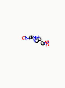 O=[N+]([O-])c1cccc(-c2cccc3c(Nc4ccc(N5CCOCC5)cc4)nccc23)c1